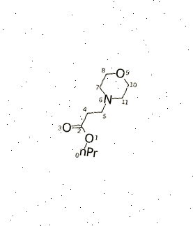 CCCOC(=O)CCN1CCOCC1